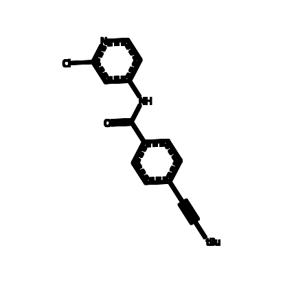 CC(C)(C)C#Cc1ccc(C(=O)Nc2ccnc(Cl)c2)cc1